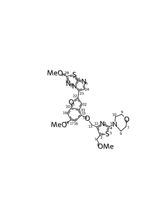 COCc1sc(N2CCOCC2)nc1COc1cc(OC)cc2oc(-c3cnc4sc(OC)nn34)cc12